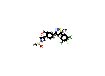 CCC[S+]([O-])N1CC2(C1)OCc1cc(C3=NSC(c4cc(Cl)c(F)c(Cl)c4)(C(F)(F)F)C3)ccc12